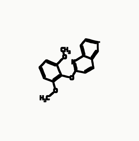 COc1cccc(OC)c1Oc1ccc2c[c]ccc2n1